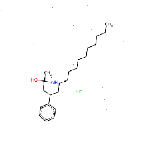 CCCCCCCCCCCCC(CC(C)(N)O)c1ccccc1.Cl